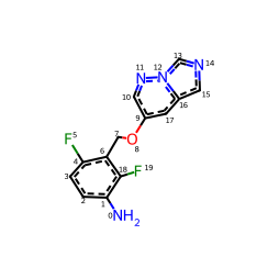 Nc1ccc(F)c(COc2cnn3cncc3c2)c1F